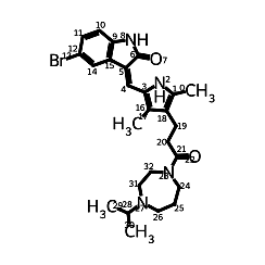 Cc1[nH]c(C=C2C(=O)Nc3ccc(Br)cc32)c(C)c1CCC(=O)N1CCCN(C(C)C)CC1